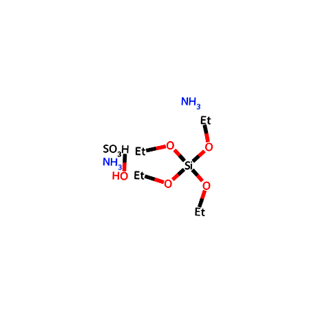 CCO[Si](OCC)(OCC)OCC.N.N.O=S(=O)(O)O